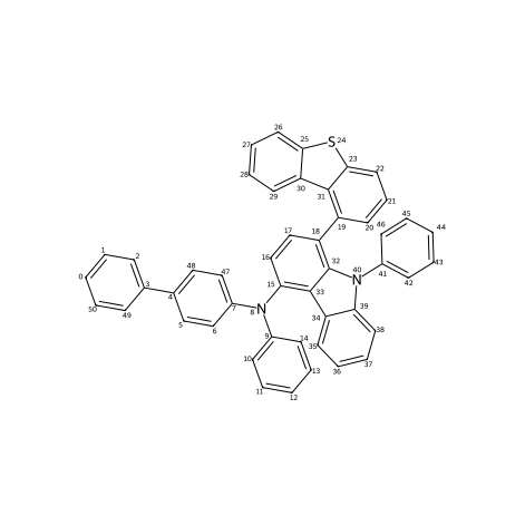 c1ccc(-c2ccc(N(c3ccccc3)c3ccc(-c4cccc5sc6ccccc6c45)c4c3c3ccccc3n4-c3ccccc3)cc2)cc1